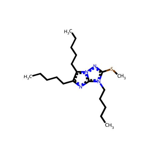 CCCCCc1nc2n(CCCCC)c(SC)nn2c1CCCCC